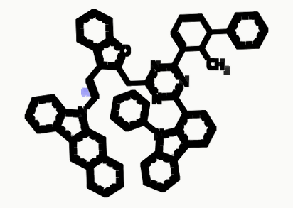 CC1C(c2nc(Cc3oc4ccccc4c3/C=C/n3c4ccccc4c4cc5ccccc5cc43)nc(-c3cccc4c5ccccc5n(-c5ccccc5)c34)n2)=CC=CC1c1ccccc1